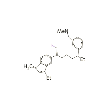 C=C1C=C(CC)c2cc(/C(=C\I)CCCC(CC)c3cccc(CNC)c3)ccc21